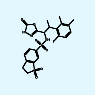 Cc1ccc(F)c(C(C)C(NS(=O)(=O)c2ccc3c(c2)S(=O)(=O)CC3)c2n[nH]c(=O)o2)c1C